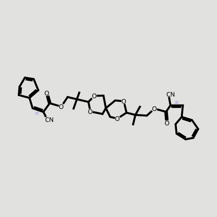 CC(C)(COC(=O)/C(C#N)=C\C1=CC=CC=CC1)C1OCC2(CO1)COC(C(C)(C)COC(=O)/C(C#N)=C\c1ccccc1)OC2